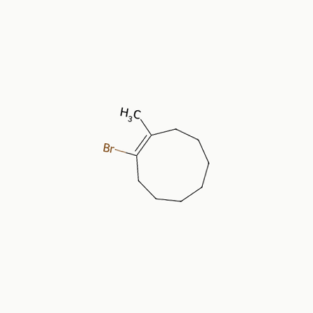 C/C1=C(\Br)CCCCCCC1